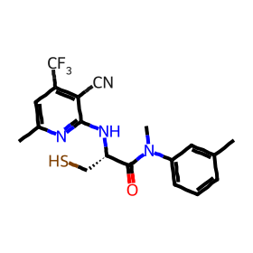 Cc1cccc(N(C)C(=O)[C@H](CS)Nc2nc(C)cc(C(F)(F)F)c2C#N)c1